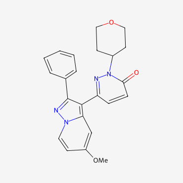 COc1ccn2nc(-c3ccccc3)c(-c3ccc(=O)n(C4CCOCC4)n3)c2c1